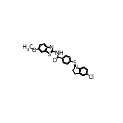 COc1ccc2nc(NC(=O)c3ccc(SN4CCc5cc(Cl)ccc54)cc3)sc2c1